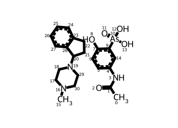 CC(=O)Nc1ccc(O)c([As](=O)(O)O)c1.CN1CCN(C2CCc3ccccc32)CC1